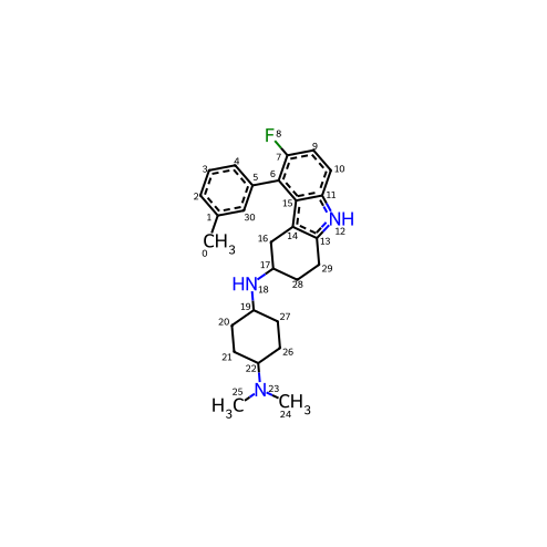 Cc1cccc(-c2c(F)ccc3[nH]c4c(c23)CC(NC2CCC(N(C)C)CC2)CC4)c1